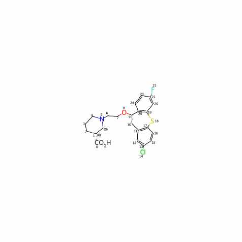 O=C(O)[C@@H]1CCCN(CCOC2Cc3cc(Cl)ccc3Sc3cc(F)ccc32)C1